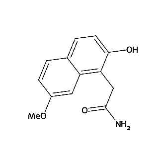 COc1ccc2ccc(O)c(CC(N)=O)c2c1